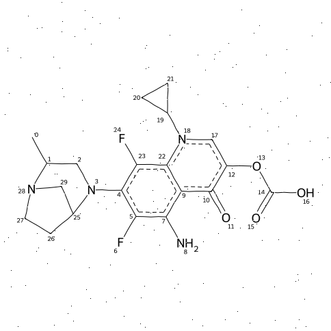 CC1CN(c2c(F)c(N)c3c(=O)c(OC(=O)O)cn(C4CC4)c3c2F)C2CCN1C2